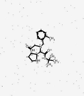 Cc1ccccc1CN(CC(=O)O)C(C(=O)OC(C)(C)C)[C@@H]1CCCN1